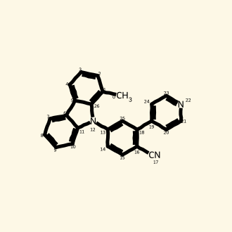 Cc1cccc2c3ccccc3n(-c3ccc(C#N)c(-c4ccncc4)c3)c12